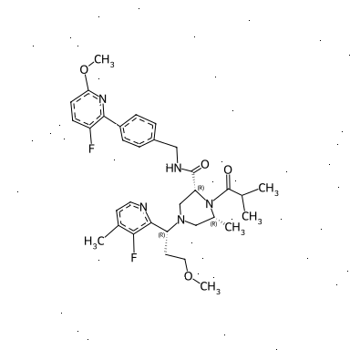 COCC[C@H](c1nccc(C)c1F)N1C[C@@H](C)N(C(=O)C(C)C)[C@@H](C(=O)NCc2ccc(-c3nc(OC)ccc3F)cc2)C1